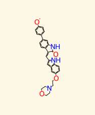 COc1ccc(-c2ccc3c(c2)NC(=O)C3=Cc2cc3cc(OCCN4CCOCC4)ccc3[nH]2)cc1